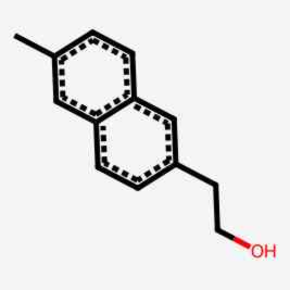 Cc1ccc2cc(CCO)ccc2c1